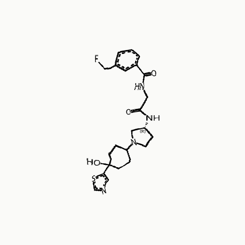 O=C(CNC(=O)c1cccc(CF)c1)N[C@@H]1CCN(C2CCC(O)(c3cncs3)CC2)C1